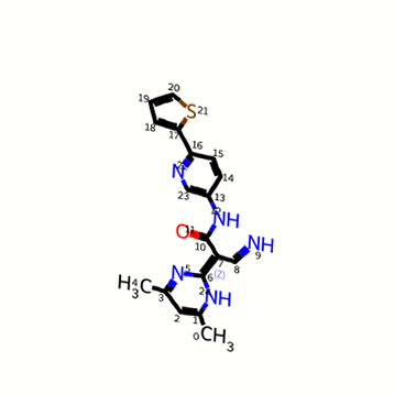 CC1=CC(C)=N/C(=C(/C=N)C(=O)Nc2ccc(-c3cccs3)nc2)N1